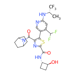 C[C@H](Nc1cc(C(F)F)c(-c2sc(C(=O)N[C@H]3CC[C@@H]3O)nc2C(=O)N2C3CCC2CC3)cn1)C(F)(F)F